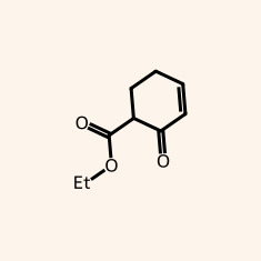 CCOC(=O)C1CCC=CC1=O